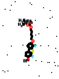 CCOc1ccc2c(sc3c(F)c(OCCCCCOC(=O)O[Si](C)(C)C)ccc32)c1F